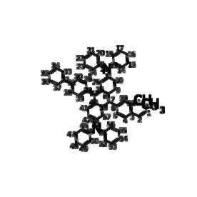 C/C=C\c1ccc(-c2c3ccc(N(c4ccccc4)c4ccccc4)cc3c(-c3ccc(-c4ccccc4)cc3)c3ccc(N(c4ccccc4)c4ccccc4)cc23)cc1C